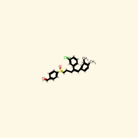 Cc1ccc(C=C(CCC[S+]([O-])c2ccc(C=O)cc2)c2cccc(Cl)c2)cc1C